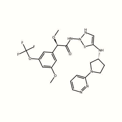 COc1cc(OC(F)(F)F)cc([C@@H](OC)C(=O)NN2NC=C(N[C@@H]3CCN(c4cccnn4)C3)S2)c1